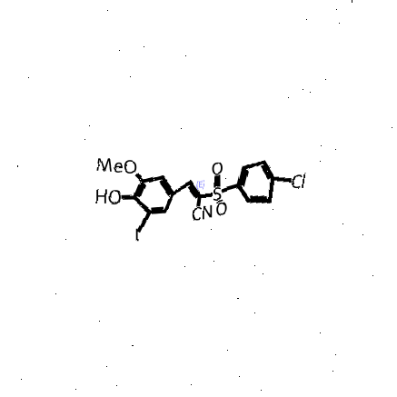 COc1cc(/C=C(\C#N)S(=O)(=O)c2ccc(Cl)cc2)cc(I)c1O